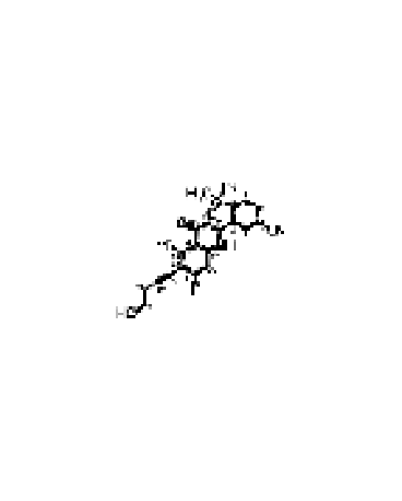 CS(=O)(=O)c1ccc(C#N)cc1-c1cc(=O)c2c(F)c(C#CCCO)c(F)cc2[nH]1